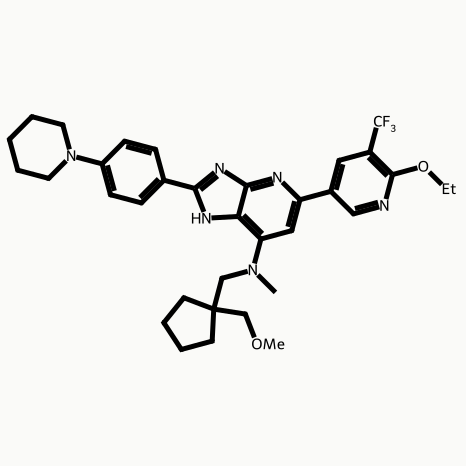 CCOc1ncc(-c2cc(N(C)CC3(COC)CCCC3)c3[nH]c(-c4ccc(N5CCCCC5)cc4)nc3n2)cc1C(F)(F)F